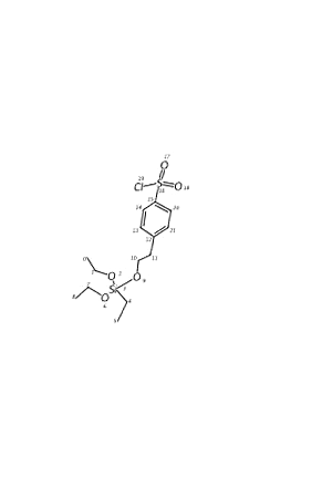 CCO[Si](CC)(OCC)OCCc1ccc(S(=O)(=O)Cl)cc1